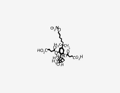 CC(C)(CCCCCCO[N+](=O)[O-])c1cc(OC(=O)CCC(=O)O)c([C@H]2CC(=O)[C@H]3C[C@@H]2C3(C)C)c(OC(=O)CCC(=O)O)c1